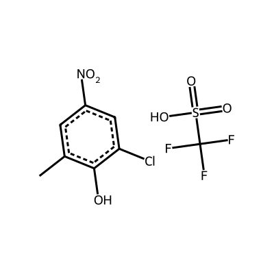 Cc1cc([N+](=O)[O-])cc(Cl)c1O.O=S(=O)(O)C(F)(F)F